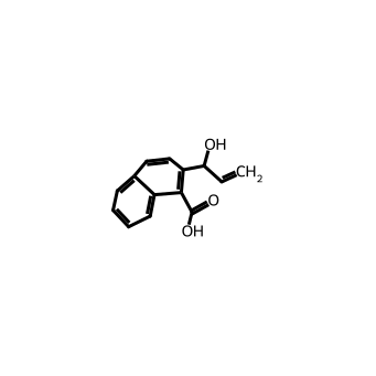 C=CC(O)c1ccc2ccccc2c1C(=O)O